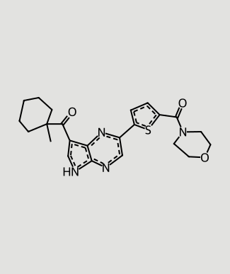 CC1(C(=O)c2c[nH]c3ncc(-c4ccc(C(=O)N5CCOCC5)s4)nc23)CCCCC1